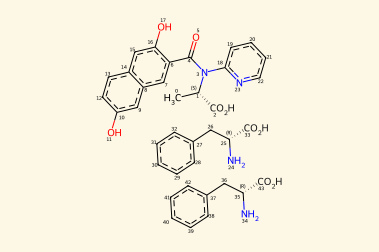 C[C@@H](C(=O)O)N(C(=O)c1cc2cc(O)ccc2cc1O)c1ccccn1.N[C@H](Cc1ccccc1)C(=O)O.N[C@H](Cc1ccccc1)C(=O)O